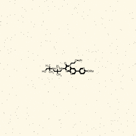 CCCOCCn1c(=O)c(NCC(C)(C)CNC(C)(C)CO)nc2ncc(-c3ccc(OC)nc3)cc21